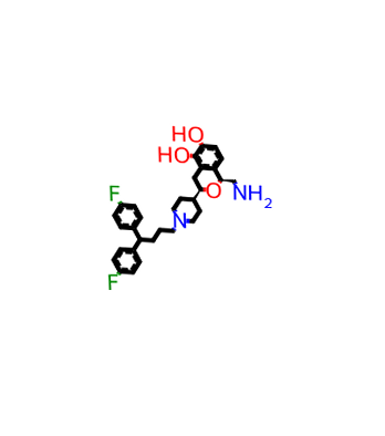 NC[C@H]1O[C@@H](C2CCN(CCCC(c3ccc(F)cc3)c3ccc(F)cc3)CC2)Cc2c1ccc(O)c2O